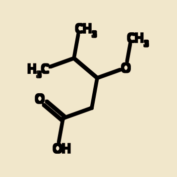 COC(CC(=O)O)C(C)C